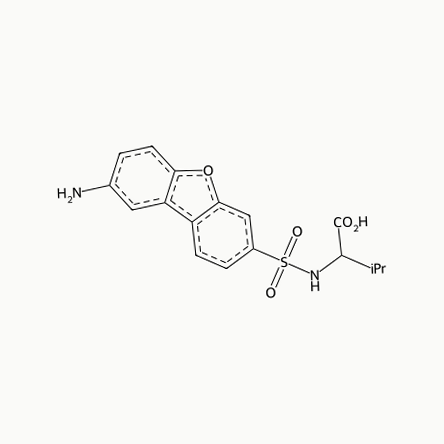 CC(C)C(NS(=O)(=O)c1ccc2c(c1)oc1ccc(N)cc12)C(=O)O